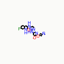 COc1cc(Nc2nccc(Nc3cc4ccc(F)cc4[nH]c3=O)n2)cnc1OC1CC(N(C)C)C1